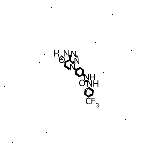 Nc1ncnc2c1c(=O)ccn2-c1ccc(NC(=O)Nc2ccc(C(F)(F)F)cc2)cc1